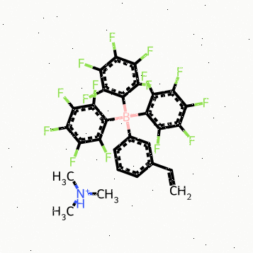 C=Cc1cccc([B-](c2c(F)c(F)c(F)c(F)c2F)(c2c(F)c(F)c(F)c(F)c2F)c2c(F)c(F)c(F)c(F)c2F)c1.C[NH+](C)C